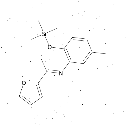 CC(=Nc1cc(C)ccc1O[Si](C)(C)C)c1ccco1